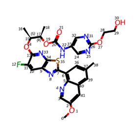 COc1cnc2c(-c3nc4cc(F)c(O[C@@H](C)[C@@H](C)OC(=O)Nc5cnc(OCCO)nc5)nc4s3)cc(C)cc2c1